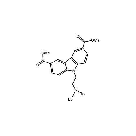 CCN(CC)CCn1c2ccc(C(=O)OC)cc2c2cc(C(=O)OC)ccc21